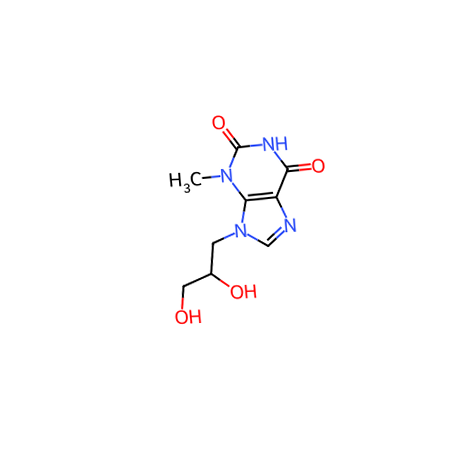 Cn1c(=O)[nH]c(=O)c2ncn(CC(O)CO)c21